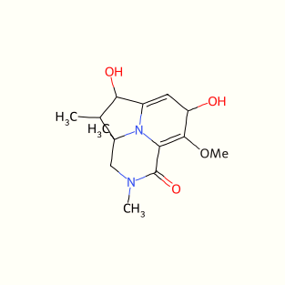 COC1=C2C(=O)N(C)CC3(C)C(C)C(O)C(=CC1O)N23